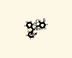 CN1CC2CCC1(C(NC(=O)c1cccc(F)c1Cl)c1ccccc1)CC2